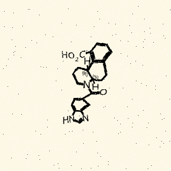 O=C(O)c1cccc2c1[C@H]1CCCN(C(=O)c3ccc4[nH]cnc4c3)[C@H]1CC2